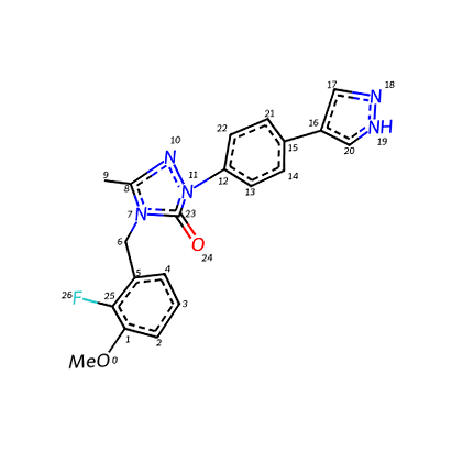 COc1cccc(Cn2c(C)nn(-c3ccc(-c4cn[nH]c4)cc3)c2=O)c1F